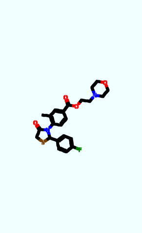 Cc1cc(C(=O)OCCN2CCOCC2)ccc1N1C(=O)CSC1c1ccc(F)cc1